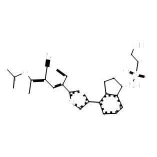 C=C/C(=C\C(C#N)=C(/C)OC(C)C)c1ncc(-c2cccc3c2CC[C@@H]3NS(=O)(=O)CCO)s1